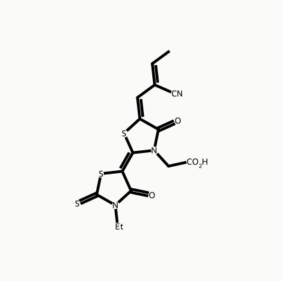 C/C=C(C#N)/C=c1/s/c(=C2\SC(=S)N(CC)C2=O)n(CC(=O)O)c1=O